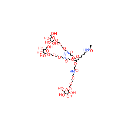 C#CC(=O)NCCCCCC(=O)CC(COCCC(=O)NCCOCCOCCO[C@@H]1OC(CO)[C@@H](O)[C@H](O)C1O)(COCCC(=O)NCCOCCOCCO[C@H]1OC(CO)[C@@H](O)[C@H](O)C1O)COCCC(=O)NCCOCCOCCO[C@H]1OC(CO)[C@@H](O)[C@H](O)C1O